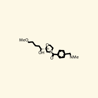 CNCc1ccc(C(=O)N2CCO[C@@H](C(O)CCCCOC)C2)cc1